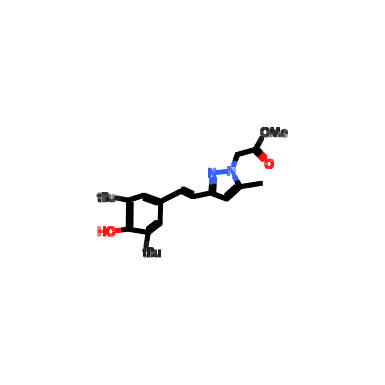 COC(=O)Cn1nc(C=Cc2cc(C(C)(C)C)c(O)c(C(C)(C)C)c2)cc1C